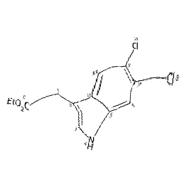 CCOC(=O)Cc1c[nH]c2cc(Cl)c(Cl)cc12